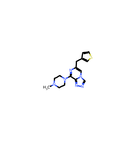 CN1CCN(c2nc(Cc3ccsc3)cn3cnnc23)CC1